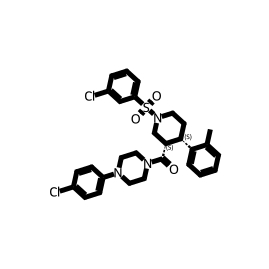 Cc1ccccc1[C@H]1CCN(S(=O)(=O)c2cccc(Cl)c2)C[C@H]1C(=O)N1CCN(c2ccc(Cl)cc2)CC1